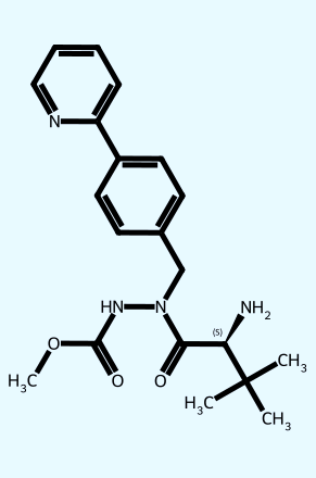 COC(=O)NN(Cc1ccc(-c2ccccn2)cc1)C(=O)[C@@H](N)C(C)(C)C